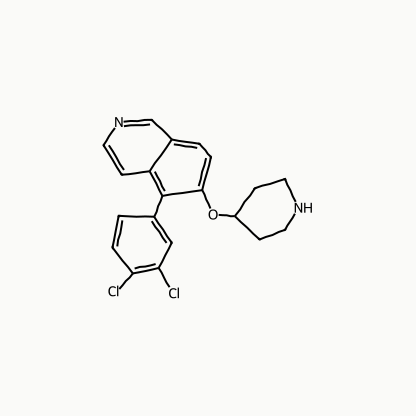 Clc1ccc(-c2c(OC3CCNCC3)ccc3cnccc23)cc1Cl